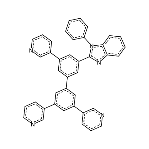 c1ccc(-n2c(-c3cc(-c4cccnc4)cc(-c4cc(-c5cccnc5)cc(-c5cccnc5)c4)c3)nc3ccccc32)cc1